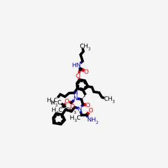 CCCCCc1cc(OC(=O)NCCCC)cc(CCCCC)c1C[C@@H](NC(=O)OC(C)(C)C)C(=O)N(CCCc1ccccc1)[C@H](C)C(N)=O